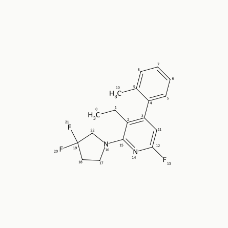 CCc1c(-c2ccccc2C)cc(F)nc1N1CCC(F)(F)C1